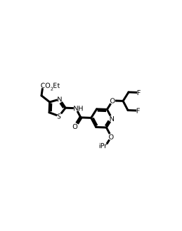 CCOC(=O)Cc1csc(NC(=O)c2cc(OC(C)C)nc(OC(CF)CF)c2)n1